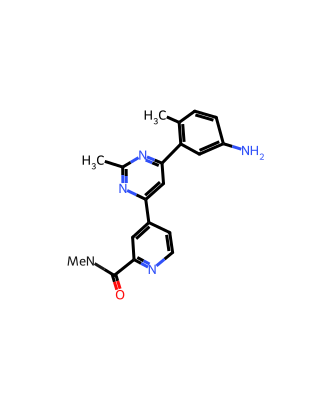 CNC(=O)c1cc(-c2cc(-c3cc(N)ccc3C)nc(C)n2)ccn1